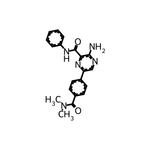 CN(C)C(=O)c1ccc(-c2cnc(N)c(C(=O)Nc3ccccc3)n2)cc1